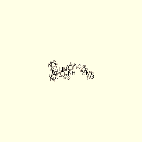 O=C1Nc2cc(CCOc3ccc(N4CCOCC4)cc3)ccc2Nc2cc(-c3cn(Cc4ccccn4)c4cnccc34)ccc21